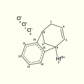 [Cl-].[Cl-].[Cl-].[Hf+3][C]12C=CCC(C1)c1ccccc12